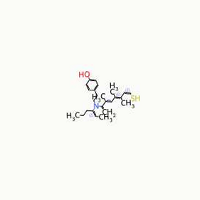 C=C(/C(C)=C/C(C)=C(C)/C=C\S)N(CCc1ccc(O)cc1)/C(=C\C)CCC